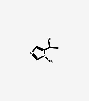 CC(S)c1cncn1N